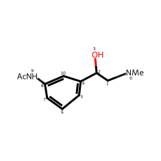 CNCC(O)c1cccc(NC(C)=O)c1